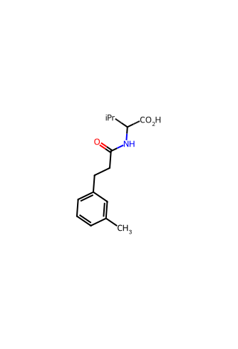 Cc1cccc(CCC(=O)NC(C(=O)O)C(C)C)c1